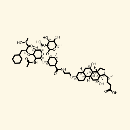 CC(=O)NC1C(O[C@@H](CC2CCCCC2)C(=O)N(C)O)[C@@H](O)[C@H](CO)O[C@H]1O[C@@H]1CC(C(=O)NCCO[C@@H]2CC[C@@]3(C)[C@@H](C2)C[C@@H](O)[C@@H]2[C@@H]3C[C@H](O)[C@]3(C)[C@@H]([C@H](C)CCC(=O)O)CC[C@@H]23)C[C@@H](C)[C@H]1OC1O[C@@H](C)C(O)[C@H](O)[C@@H]1O